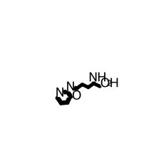 NC(CO)CCc1nc2ncccc2o1